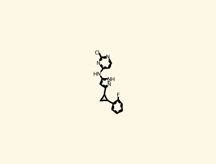 Fc1ccccc1C1CC1c1cc(Nc2ccnc(Cl)n2)[nH]n1